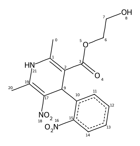 CC1=C(C(=O)OCCO)C(c2ccccc2[N+](=O)[O-])C([N+](=O)[O-])=C(C)N1